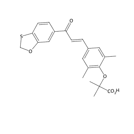 Cc1cc(/C=C/C(=O)c2ccc3c(c2)OCS3)cc(C)c1OC(C)(C)C(=O)O